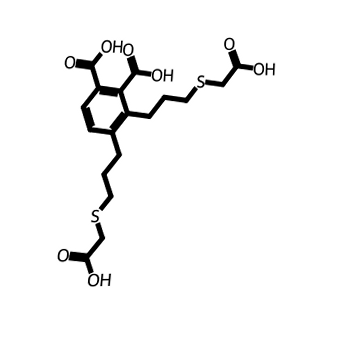 O=C(O)CSCCCc1ccc(C(=O)O)c(C(=O)O)c1CCCSCC(=O)O